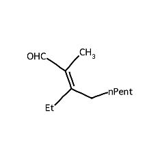 CCCCCCC(CC)=C(C)C=O